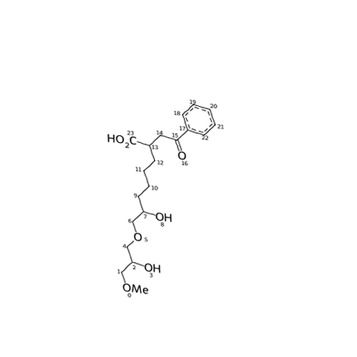 COCC(O)COCC(O)CCCCC(CC(=O)c1ccccc1)C(=O)O